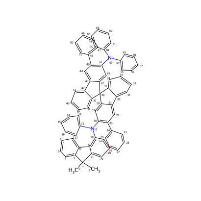 CC1(C)c2ccccc2-c2c(N(c3ccccc3)c3cc4c(cc3-c3ccccc3)-c3ccccc3C43c4ccccc4-c4cc(-c5ccccc5)c(N(c5ccccc5)c5ccccc5)cc43)cccc21